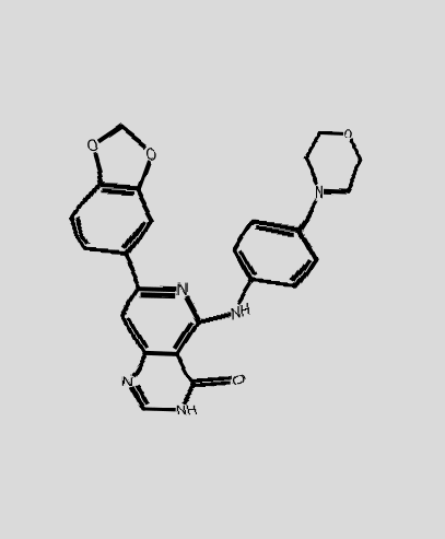 O=c1[nH]cnc2cc(-c3ccc4c(c3)OCO4)nc(Nc3ccc(N4CCOCC4)cc3)c12